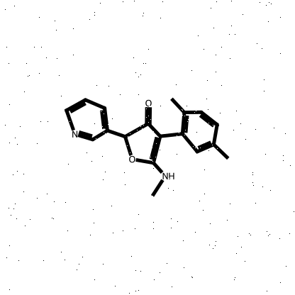 CNC1=C(c2cc(C)ccc2C)C(=O)C(c2cccnc2)O1